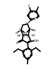 CCc1cc(C)cc(CC)c1C1=C(O)[C@@H]2[C@@H]3O[C@@H](C[C@H]3c3ccc(C)c(F)c3)[C@@H]2C1=O